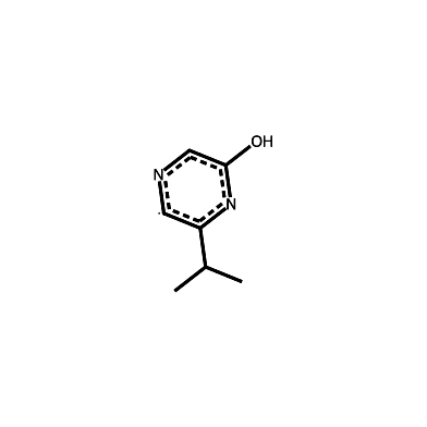 CC(C)c1[c]ncc(O)n1